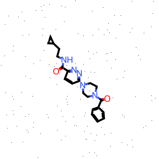 O=C(NCCC1CC1)c1ccc(N2CCN(C(=O)c3ccccc3)CC2)nn1